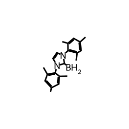 BC1N(c2c(C)cc(C)cc2C)C=CN1c1c(C)cc(C)cc1C